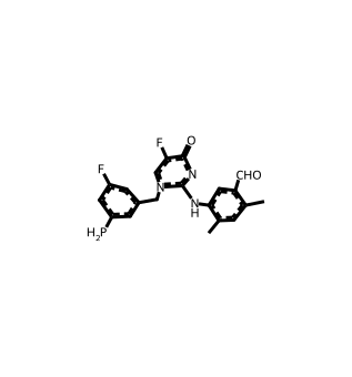 Cc1cc(C)c(Nc2nc(=O)c(F)cn2Cc2cc(F)cc(P)c2)cc1C=O